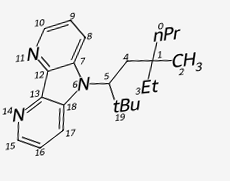 CCCC(C)(CC)CC(n1c2cccnc2c2ncccc21)C(C)(C)C